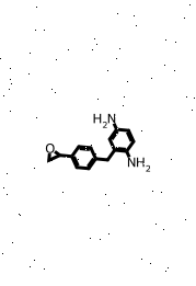 Nc1ccc(N)c(Cc2ccc(C3CO3)cc2)c1